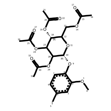 COc1cc(I)ccc1O[C@H]1OC(COC(C)=O)[C@@H](OC(C)=O)C(OC(C)=O)C1OC(C)=O